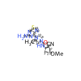 COc1ccc(NC(=O)N2CCN(c3nc(N)nc4scnc34)[C@@H](C)C2)c(C#N)c1